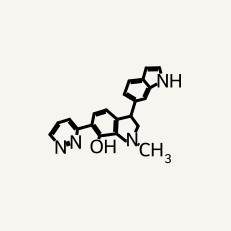 CN1Cc2c(ccc(-c3cccnn3)c2O)C(c2ccc3cc[nH]c3c2)C1